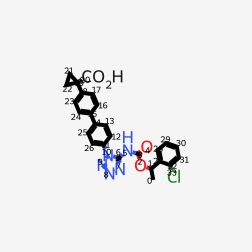 CC(OC(=O)Nc1nnnn1-c1ccc(-c2ccc(C3(C(=O)O)CC3)cc2)cc1)c1ccccc1Cl